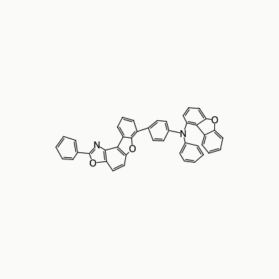 c1ccc(-c2nc3c(ccc4oc5c(-c6ccc(N(c7ccccc7)c7cccc8oc9ccccc9c78)cc6)cccc5c43)o2)cc1